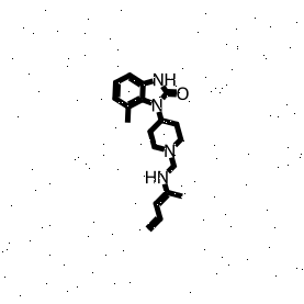 C=C/C=C(\C)NCN1CCC(n2c(=O)[nH]c3cccc(C)c32)CC1